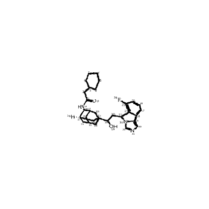 O=C(CC1CCCCC1)NC1C2CC3C[C@@H]1CC(C(O)CC1c4c(F)cccc4-c4cncn41)(C3)C2